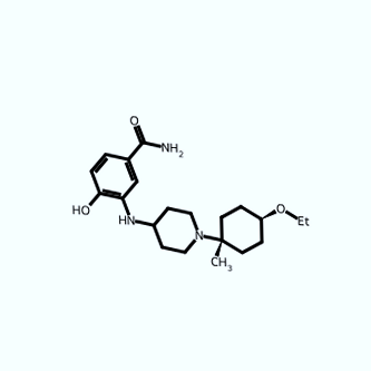 CCO[C@H]1CC[C@](C)(N2CCC(Nc3cc(C(N)=O)ccc3O)CC2)CC1